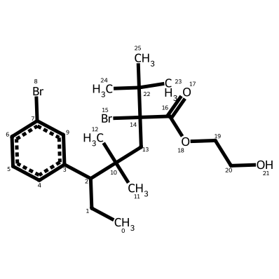 CCC(c1cccc(Br)c1)C(C)(C)CC(Br)(C(=O)OCCO)C(C)(C)C